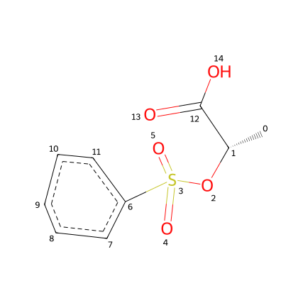 C[C@H](OS(=O)(=O)c1ccccc1)C(=O)O